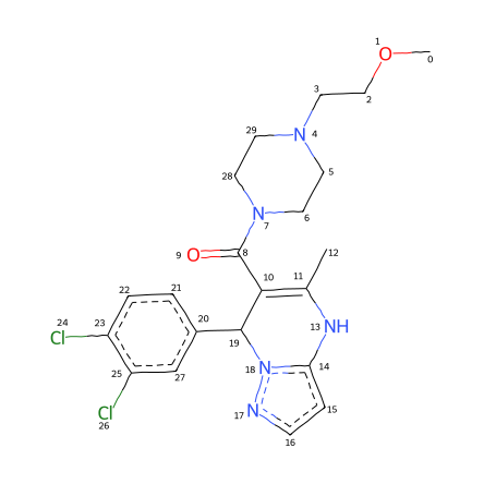 COCCN1CCN(C(=O)C2=C(C)Nc3ccnn3C2c2ccc(Cl)c(Cl)c2)CC1